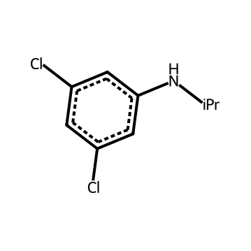 CC(C)Nc1cc(Cl)cc(Cl)c1